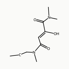 CCCN(C)C(=O)/C=C(\O)C(=O)N(C)C